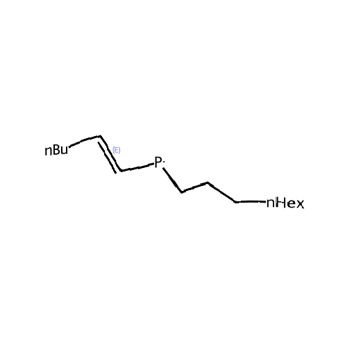 CCCC/C=C/[P]CCCCCCCCC